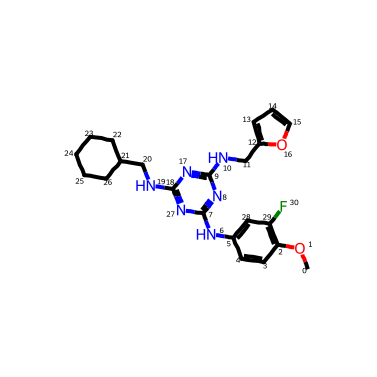 COc1ccc(Nc2nc(NCc3ccco3)nc(NCC3CCCCC3)n2)cc1F